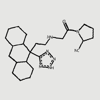 N#CC1CCCN1C(=O)CNCCC1(c2nn[nH]n2)C2CCCCC2CC2CCCCC21